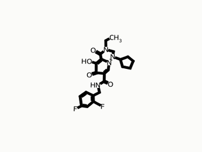 CCN1CN(C2CCCC2)n2cc(C(=O)NCc3ccc(F)cc3F)c(=O)c(O)c2C1=O